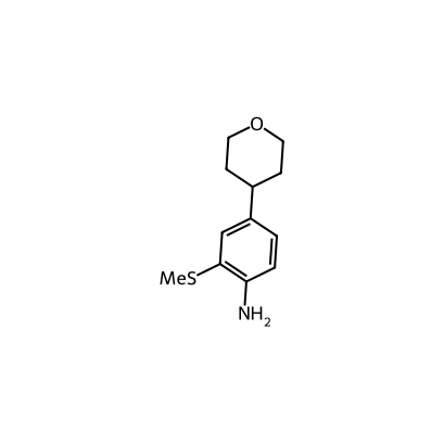 CSc1cc(C2CCOCC2)ccc1N